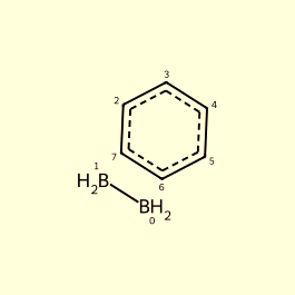 BB.c1ccccc1